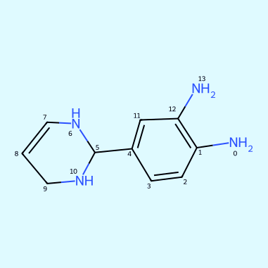 Nc1ccc(C2NC=CCN2)cc1N